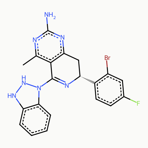 Cc1nc(N)nc2c1C(N1NNc3ccccc31)=N[C@@H](c1ccc(F)cc1Br)C2